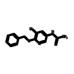 CC(=O)Nc1cnc(SCc2ccccc2)c(Cl)c1